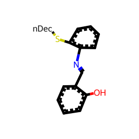 CCCCCCCCCCSc1ccccc1N=Cc1ccccc1O